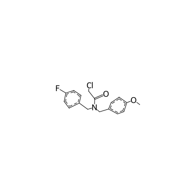 COc1ccc(CN(Cc2ccc(F)cc2)C(=O)CCl)cc1